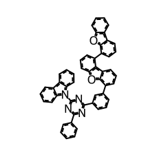 c1ccc(-c2nc(-c3cccc(-c4cccc5c4oc4cccc(-c6cccc7c6oc6ccccc67)c45)c3)nc(-n3c4ccccc4c4ccccc43)n2)cc1